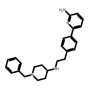 Nc1cccc(-c2ccc(CCNC3CCN(Cc4ccccc4)CC3)cc2)n1